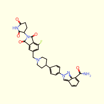 NC(=O)c1cccc2cn(-c3ccc(C4CCN(Cc5cc(F)c6c(c5)C(=O)N(C5CCC(=O)NC5=O)C6=O)CC4)cc3)nc12